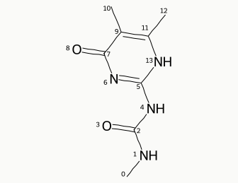 CNC(=O)Nc1nc(=O)c(C)c(C)[nH]1